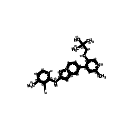 Cc1cc(-c2ccn3nc(Nc4nccc(C)c4F)cc3c2)c(OCC(C)(C)O)cn1